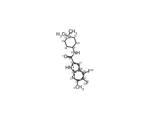 Cc1nc2[nH]c(C(=O)NC3CC[Si](C)(C)CC3)cc2c(F)c1F